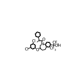 C[C@H](C(=O)N1C[C@@H](Oc2cc(Cl)cc(Cl)c2)CCc2cc(C(O)(C(F)(F)F)C(F)(F)F)ccc21)c1ccccc1